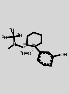 [2H]O[C@@]1(c2cccc(O)c2)CCCC[C@H]1CN(C)C([2H])([2H])[2H]